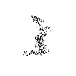 C=C[C@@H](NCCCNC(=N)N)c1ccc(-n2cc3cc(-c4cc(CCC[C@H](C)N)cc(Cl)c4F)[nH]c3nc2=O)cc1